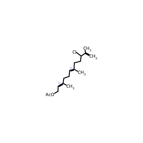 C=C(C)C(Cl)CC/C(C)=C/CC/C(C)=C/COC(C)=O